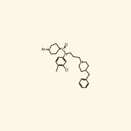 CC(=O)N1CCC([11C](=O)N(CCCN2CCC(Cc3ccccc3)CC2)c2ccc(C)c(Cl)c2)CC1